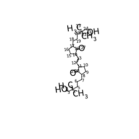 CC(C)(CO)CCCC1CCC(/C=C/C2CCC(CCCC(C)(C)CO)C2=O)C1=O